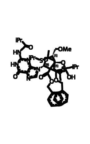 COC[C@H]1O[C@@H](n2cnc3c(=O)[nH]c(NC(=O)C(C)C)nc32)C(C(=O)OCc2ccccc2)(C(=O)OCc2ccccc2)[C@@H]1O[Si](O)(C(C)C)C(C)CCC(C)SC(C)C